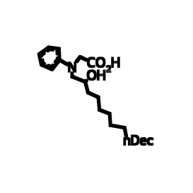 CCCCCCCCCCCCCCCCC(O)CN(CC(=O)O)c1ccccc1